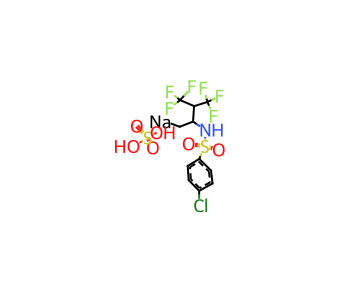 O=S(=O)(NC([CH2][Na])C(C(F)(F)F)C(F)(F)F)c1ccc(Cl)cc1.O=S(=O)(O)O